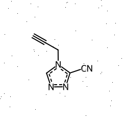 C#CCn1cnnc1C#N